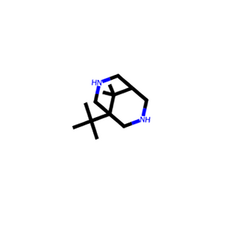 CC(C)(C)C12CNCC(CNC1)C2(C)C